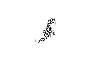 C=C/C=C\C1=C(C)CCN(C[C@@H](O)CN2CC(C)(C)OC3=C(C=CC(OC4CCN(C)CC4)N3)C2=O)C1